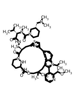 CCn1c(-c2cccnc2[C@H](C)OC)c2c3cc(ccc31)-c1csc(n1)C[C@H]([SiH2]NC(=O)[C@H](C(C)C)N(C)C(=O)N1CCC[C@@H](CN(C)C)C1)C(=O)N1CCC[C@@]([SiH3])(N1)C(=O)OCC(C)(C)C2